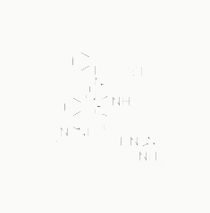 CCOC(=O)C(CCCNC(=N)N)NC(=O)[C@@H](NC(=O)[C@@H](Cc1ccc(C(=N)N)cc1)c1cccc(F)c1)C1CCCCC1.Cl